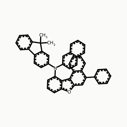 CC1(C)c2ccccc2-c2ccc(N(c3ccc4ccccc4c3)c3cccc4oc5cc(-c6ccccc6)c6ccccc6c5c34)cc21